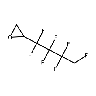 FCC(F)(F)C(F)(F)C(F)(F)C1CO1